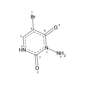 Nn1c(=O)[nH]cc(Br)c1=O